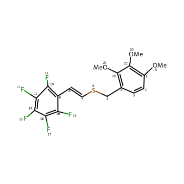 COc1ccc(CSC=Cc2c(F)c(F)c(F)c(F)c2F)c(OC)c1OC